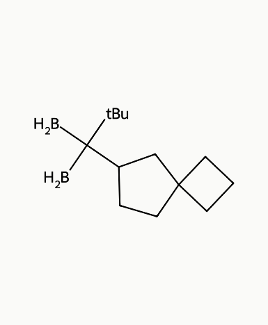 BC(B)(C1CCC2(CCC2)C1)C(C)(C)C